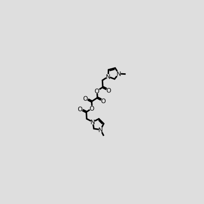 CN1C=CN(CC(=O)OC(=O)C(=O)OC(=O)CN2C=CN(C)C2)C1